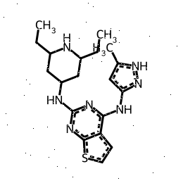 CCC1CC(Nc2nc(Nc3cc(C)[nH]n3)c3ccsc3n2)CC(CC)N1